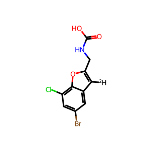 [2H]c1c(CNC(=O)O)oc2c(Cl)cc(Br)cc12